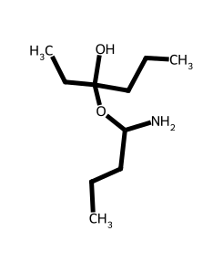 CCCC(N)OC(O)(CC)CCC